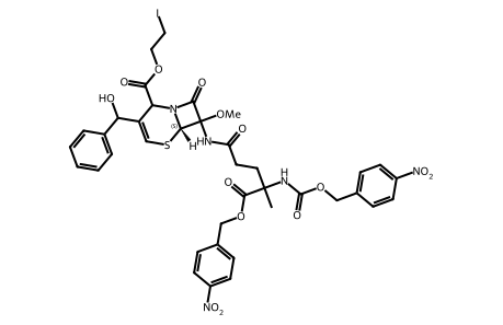 COC1(NC(=O)CCC(C)(NC(=O)OCc2ccc([N+](=O)[O-])cc2)C(=O)OCc2ccc([N+](=O)[O-])cc2)C(=O)N2C(C(=O)OCCI)C(C(O)c3ccccc3)=CS[C@H]21